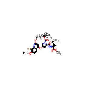 C=C[C@@H]1C[C@]1(NC(=O)[C@@H]1C[C@@H](Oc2cc(OCC)nc3c(Br)c(OC)ccc23)CN1C(=O)OC(C)(C)C)C(=O)OC